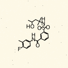 Cc1cc(NC(=O)c2cccc(S(=O)(=O)NC(C)(C)CC(C)O)c2)ccc1F